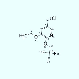 CCOc1cc(CCl)cnc1OCC(F)(F)F